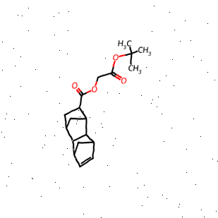 CC(C)(C)OC(=O)COC(=O)C1CC2CC1C1C3C=CC(C3)C21